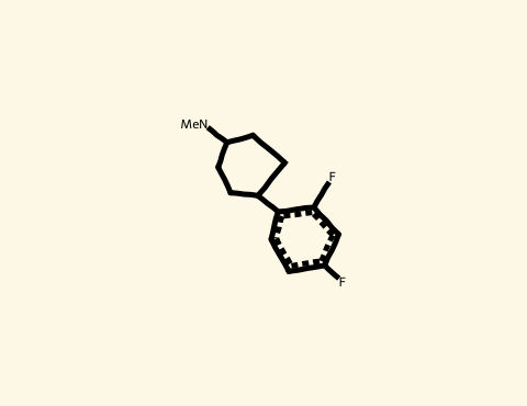 CNC1CCC(c2ccc(F)cc2F)CC1